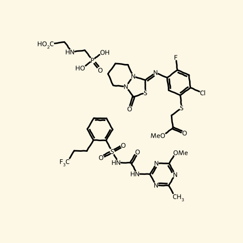 COC(=O)CSc1cc(/N=c2\sc(=O)n3n2CCCC3)c(F)cc1Cl.COc1nc(C)nc(NC(=O)NS(=O)(=O)c2ccccc2CCC(F)(F)F)n1.O=C(O)CNCP(=O)(O)O